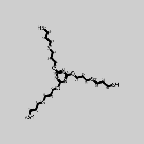 SCCCSCCCOc1nc(OCCCSCCCS)nc(OCCCSCCCS)n1